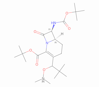 C[SiH](C)OC(C1=C(C(=O)OC(C)(C)C)N2C(=O)[C@@H](NC(=O)OC(C)(C)C)[C@H]2CC1)C(C)(C)C